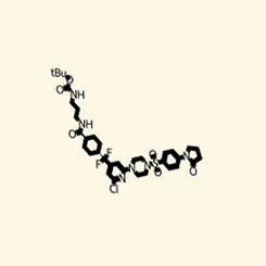 CC(C)(C)OC(=O)NCCCNC(=O)[C@H]1CC[C@H](C(F)(F)c2cc(Cl)nc(N3CCN(S(=O)(=O)c4ccc(N5CCCC5=O)cc4)CC3)c2)CC1